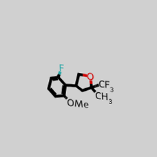 COc1cccc(F)c1C1COC(C)(C(F)(F)F)C1